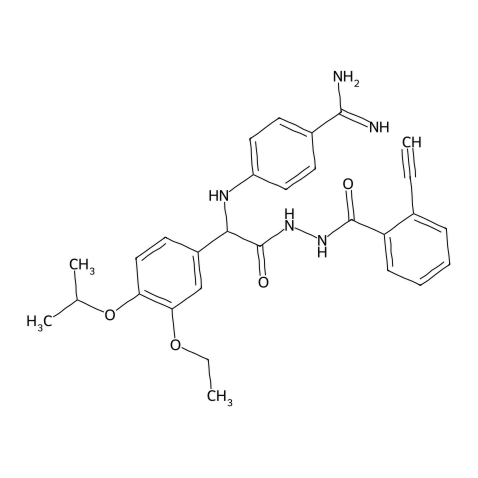 C#Cc1ccccc1C(=O)NNC(=O)C(Nc1ccc(C(=N)N)cc1)c1ccc(OC(C)C)c(OCC)c1